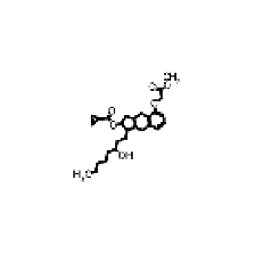 CCCCCC(O)CCC1C(OC(=O)C2CC2)CC2Cc3c(cccc3OCC(=O)OC)CC21